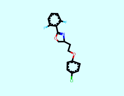 Fc1cccc(F)c1C1=NC(CCOc2ccc(Cl)cc2)CO1